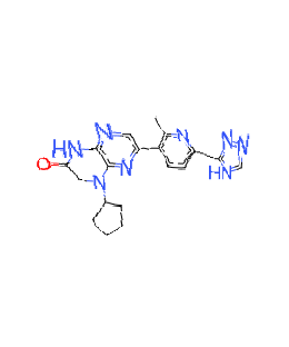 Cc1nc(-c2nnc[nH]2)ccc1-c1cnc2c(n1)N(C1CCCC1)CC(=O)N2